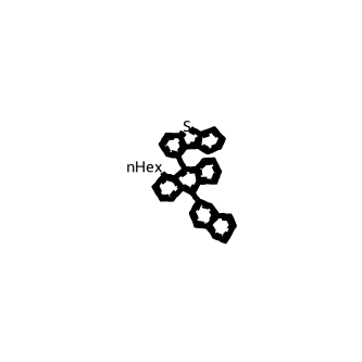 CCCCCCc1cccc2c(-c3ccc4ccccc4c3)c3ccccc3c(-c3cccc4sc5ccccc5c34)c12